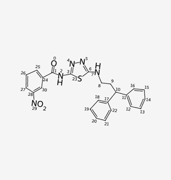 O=C(Nc1nnc(NCCC(c2ccccc2)c2ccccc2)s1)c1cccc([N+](=O)[O-])c1